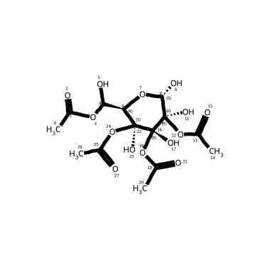 CC(=O)OC(O)[C@H]1O[C@H](O)[C@@](O)(OC(C)=O)[C@](O)(OC(C)=O)[C@@]1(O)OC(C)=O